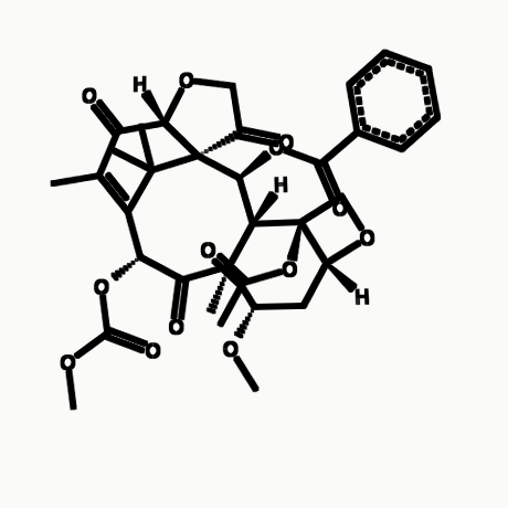 COC(=O)O[C@H]1C(=O)[C@]2(C)[C@@H](OC)C[C@H]3OC[C@@]3(OC(C)=O)[C@H]2[C@H](OC(=O)c2ccccc2)[C@]23C(=O)CO[C@H]2C(=O)C(C)=C1C3(C)C